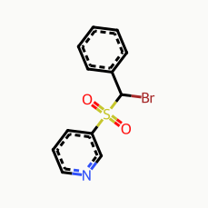 O=S(=O)(c1cccnc1)C(Br)c1ccccc1